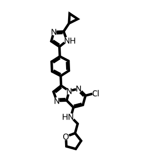 Clc1cc(NCC2CCCO2)c2ncc(-c3ccc(-c4cnc(C5CC5)[nH]4)cc3)n2n1